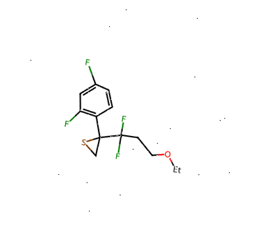 CCOCCC(F)(F)C1(c2ccc(F)cc2F)CS1